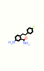 NC(=O)c1cc(N)ccc1CCc1ccc(F)cc1